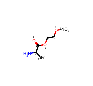 CC(C)C(N)C(=O)OCCO[N+](=O)[O-]